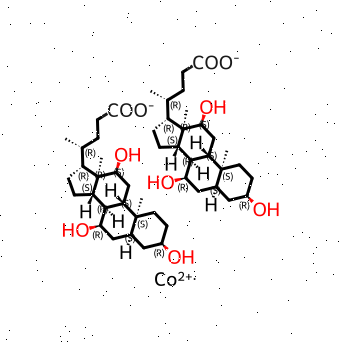 C[C@H](CCC(=O)[O-])[C@H]1CC[C@H]2[C@@H]3[C@H](O)C[C@@H]4C[C@H](O)CC[C@]4(C)[C@H]3C[C@H](O)[C@]12C.C[C@H](CCC(=O)[O-])[C@H]1CC[C@H]2[C@@H]3[C@H](O)C[C@@H]4C[C@H](O)CC[C@]4(C)[C@H]3C[C@H](O)[C@]12C.[Co+2]